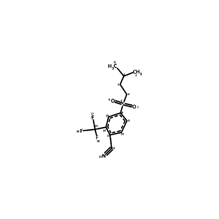 CC(C)CCS(=O)(=O)c1ccc(C#N)c(C(F)(F)F)c1